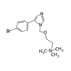 C[Si](C)(C)CCOCn1cncc1-c1ccc(Br)cc1